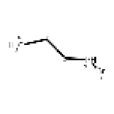 CCCPBr